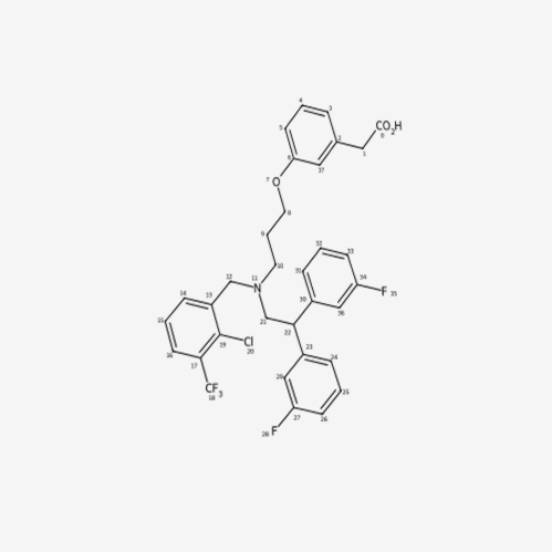 O=C(O)Cc1cccc(OCCCN(Cc2cccc(C(F)(F)F)c2Cl)CC(c2cccc(F)c2)c2cccc(F)c2)c1